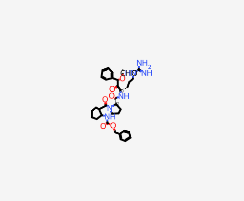 N=C(N)NCCC[C@H](NC(=O)[C@@H]1CCCN1C(=O)C1CCCCC1NC(=O)OCc1ccccc1)C(=O)C(O[C]=O)c1ccccc1